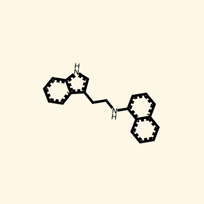 c1ccc2c(NCCc3c[nH]c4ccccc34)cccc2c1